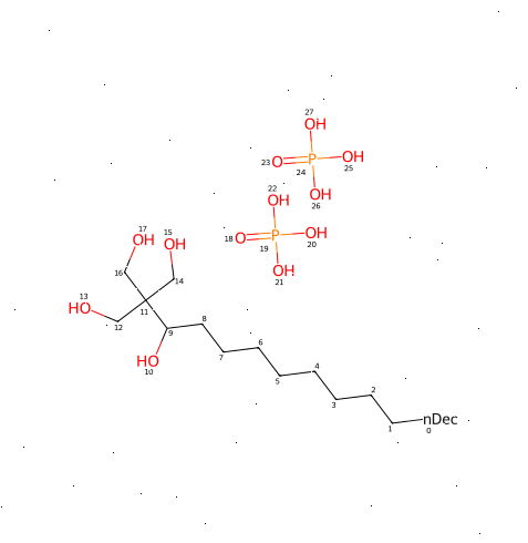 CCCCCCCCCCCCCCCCCCC(O)C(CO)(CO)CO.O=P(O)(O)O.O=P(O)(O)O